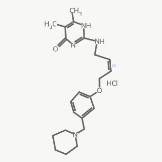 Cc1[nH]c(NC/C=C\COc2cccc(CN3CCCCC3)c2)nc(=O)c1C.Cl